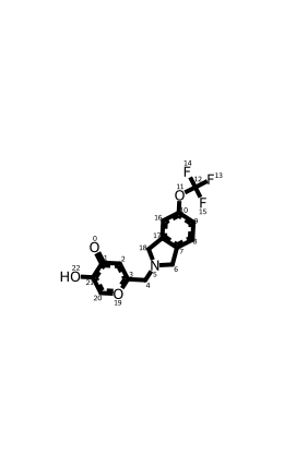 O=c1cc(CN2Cc3ccc(OC(F)(F)F)cc3C2)occ1O